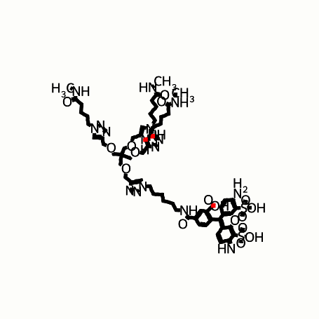 CNC(=O)CCCCN1C=C(COCC(COCc2cn(CCCCCCNC(=O)c3ccc(-c4c5ccc(=N)c(S(=O)(=O)O)c-5oc5c(S(=O)(=O)O)c(N)ccc45)c(C(=O)O)c3)nn2)(COCc2cn(CCCCC(=O)NC)nn2)COCc2cn(CCCCC(=O)NC)nn2)NN1